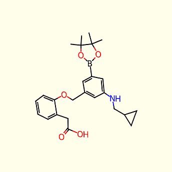 CC1(C)OB(c2cc(COc3ccccc3CC(=O)O)cc(NCC3CC3)c2)OC1(C)C